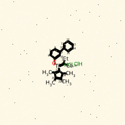 CC[C](CC)=[Ti]([O]c1cccc(-c2ccccc2)c1)[C]1=C(C)C(C)=C(C)C1C.Cl.Cl